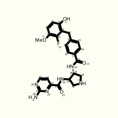 COc1ccc(O)c(Cc2ccc(C(=O)N[C@@H]3CNCC3NC(=O)c3ccnc(N)n3)cc2)c1F